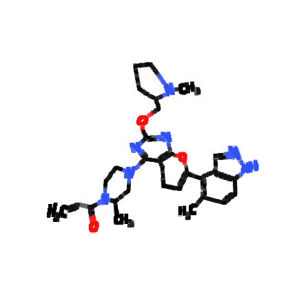 C=CC(=O)N1CCN(c2nc(OCC3CCCN3C)nc3c2CC=C(c2c(C)ccc4[nH]ncc24)O3)C[C@H]1C